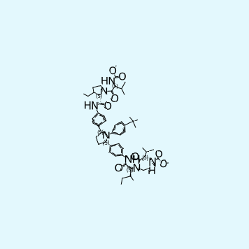 CCC(C)[C@@H](C(=O)Nc1ccc([C@@H]2CC[C@@H](c3ccc(NC(=O)[C@@H]4C(CC)CCN4C(=O)[C@@H](NC(=O)OC)C(C)C)cc3)N2c2ccc(C(C)(C)C)cc2)cc1)N(CC)C(=O)[C@@H](NC(=O)OC)C(C)C